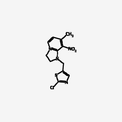 Cc1cc[n+]2c(c1[N+](=O)[O-])N(Cc1cnc(Cl)s1)CC2